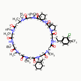 CCCN1C(=O)C[C@@H](C)N(C)C(=O)[C@H](C(C)C)N(C)C(=O)C2(CCCC2)NC(=O)[C@@H]2CCCN2C(=O)[C@H](CCc2ccc(C(F)(F)F)c(Cl)c2)NC(=O)CN(C)C(=O)[C@H](CC2CCCCC2)N(C)C(=O)CN(C)C(=O)CN(C)C(=O)[C@H](C(C)CC)NC(=O)[C@@H]1C